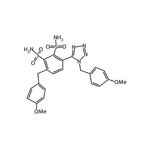 COc1ccc(Cc2ccc(-c3nnnn3Cc3ccc(OC)cc3)c(S(N)(=O)=O)c2S(N)(=O)=O)cc1